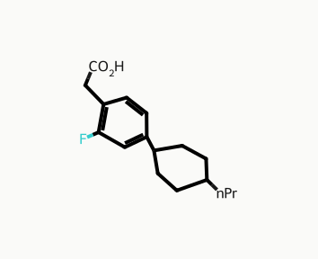 CCCC1CCC(c2ccc(CC(=O)O)c(F)c2)CC1